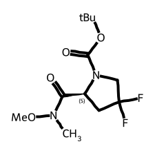 CON(C)C(=O)[C@@H]1CC(F)(F)CN1C(=O)OC(C)(C)C